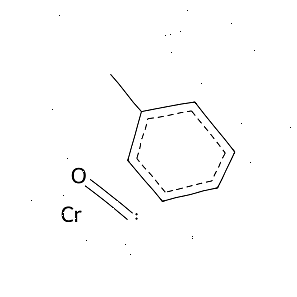 Cc1ccccc1.[C]=O.[Cr]